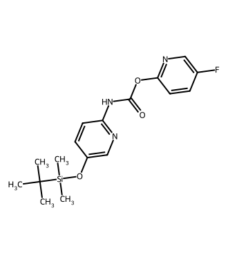 CC(C)(C)[Si](C)(C)Oc1ccc(NC(=O)Oc2ccc(F)cn2)nc1